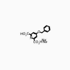 O=C(O)c1cc(OCc2ccccc2)cc(C(=O)O)n1.[Na].[Na]